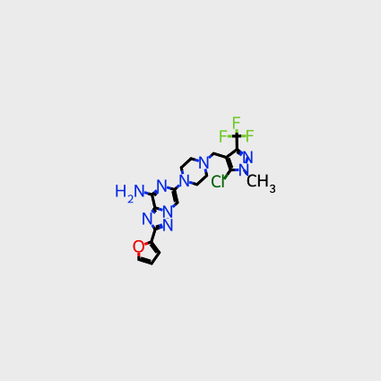 Cn1nc(C(F)(F)F)c(CN2CCN(c3cn4nc(-c5ccco5)nc4c(N)n3)CC2)c1Cl